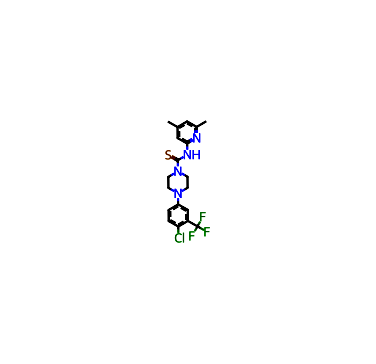 Cc1cc(C)nc(NC(=S)N2CCN(c3ccc(Cl)c(C(F)(F)F)c3)CC2)c1